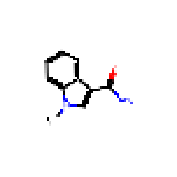 Cn1cc(C(N)=O)c2cc[c]cc21